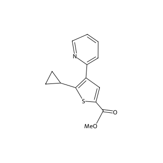 COC(=O)c1cc(-c2ccccn2)c(C2CC2)s1